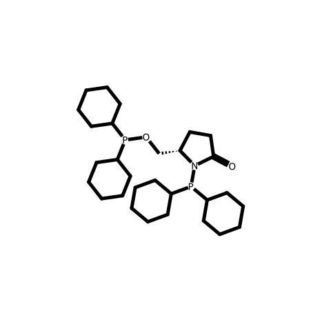 O=C1CC[C@@H](COP(C2CCCCC2)C2CCCCC2)N1P(C1CCCCC1)C1CCCCC1